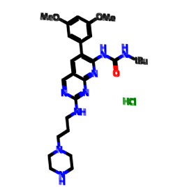 COc1cc(OC)cc(-c2cc3cnc(NCCCN4CCNCC4)nc3nc2NC(=O)NC(C)(C)C)c1.Cl